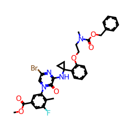 COC(=O)c1cc(F)c(C)c(-n2cc(Br)nc(NC3(c4ccccc4OCCN(C)C(=O)OCc4ccccc4)CC3)c2=O)c1